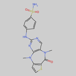 CN1C(=O)c2sccc2N(C)c2nc(Nc3ccc(S(N)(=O)=O)cc3)ncc21